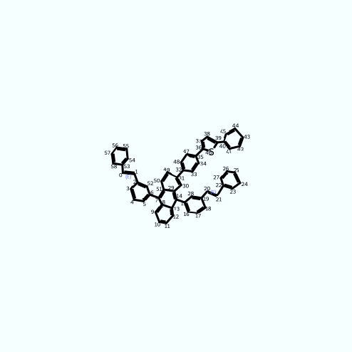 C(=C\c1cccc(-c2c3ccccc3c(-c3cccc(/C=C/c4ccccc4)c3)c3cc(-c4ccc(-c5ccc(-c6ccccc6)s5)cc4)ccc23)c1)/c1ccccc1